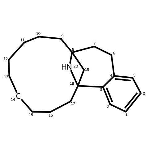 c1ccc2c(c1)CCC13CCCCCCCCCC2(C1)N3